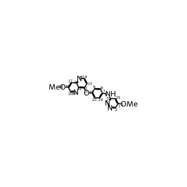 COc1cnnc(Nc2ccc(Oc3ccnc4cc(OC)cnc34)cc2)c1